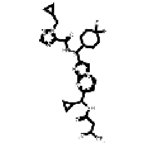 CC(CC(=O)NC(c1ccn2cc([C@@H](NC(=O)c3ncnn3CC3CC3)C3CCC(F)(F)CC3)nc2n1)C1CC1)C(F)(F)F